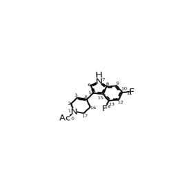 CC(=O)N1CC=C(c2c[nH]c3cc(F)cc(F)c23)CC1